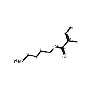 CC=C(C)C(=O)OCCCCCCCCCC